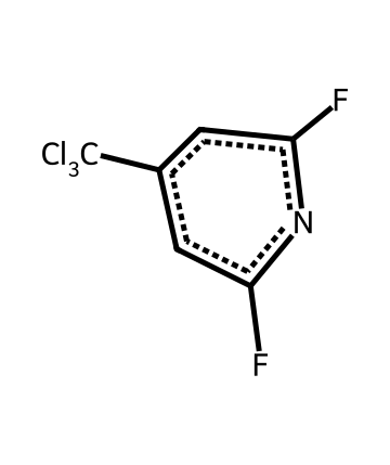 Fc1cc(C(Cl)(Cl)Cl)cc(F)n1